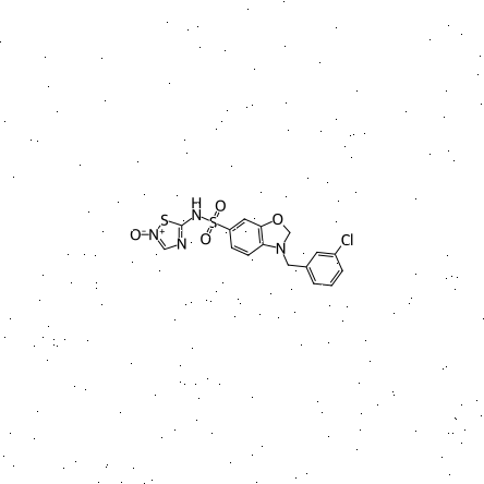 O=S(=O)(Nc1nc[n+]([O-])s1)c1ccc2c(c1)OCN2Cc1cccc(Cl)c1